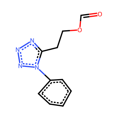 O=COCCc1nnnn1-c1ccccc1